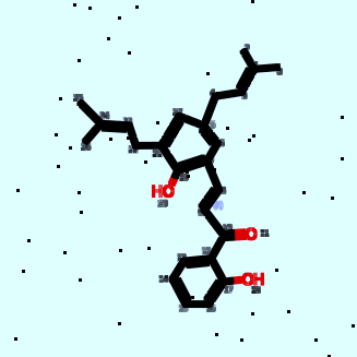 CC(C)=CCc1cc(/C=C/C(=O)c2ccccc2O)c(O)c(CC=C(C)C)c1